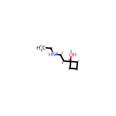 CCNCCC1(O)CCC1